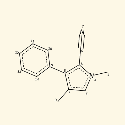 Cc1cn(C)c(C#N)c1-c1ccccc1